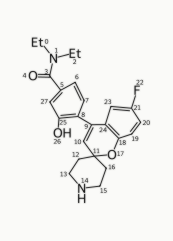 CCN(CC)C(=O)c1ccc(C2=CC3(CCNCC3)Oc3ccc(F)cc32)c(O)c1